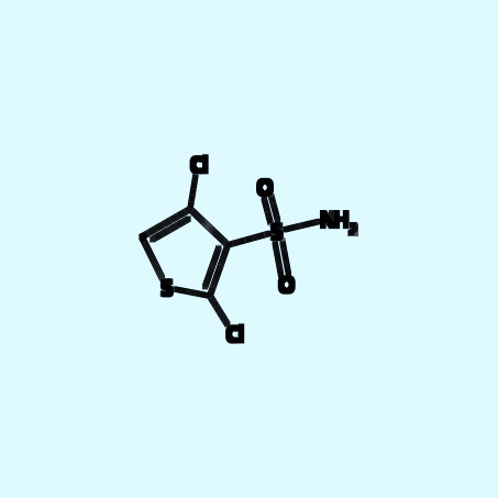 NS(=O)(=O)c1c(Cl)csc1Cl